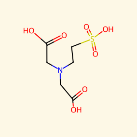 O=C(O)CN(CCS(=O)(=O)O)CC(=O)O